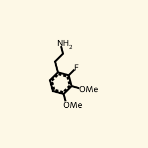 COc1ccc(CCN)c(F)c1OC